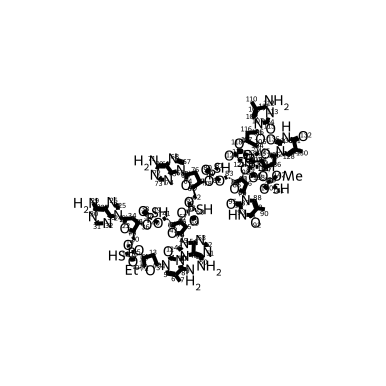 CC[C@H]1O[C@@H](n2cc(C)c(N)nc2=O)C[C@H]1OP(=O)(S)OC[C@H]1O[C@@H](n2cnc3c(N)ncnc32)C[C@H]1OP(=O)(S)OC[C@H]1O[C@@H](n2cnc3c(N)ncnc32)C[C@H]1OP(=O)(S)OC[C@H]1O[C@@H](n2cnc3c(N)ncnc32)C[C@H]1OP(=O)(S)OC[C@H]1O[C@@H](n2cc(C)c(=O)[nH]c2=O)C[C@H]1OP(=O)(S)OC[C@H]1O[C@@H](n2cc(C)c(N)nc2=O)C[C@H]1OP(=O)(S)OC[C@H]1O[C@@H](n2cc(C)c(=O)[nH]c2=O)C[C@H]1OP(=O)(S)OC